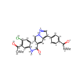 CNC(=O)c1ccc(-c2cnn3ccc(C(=O)N(C)c4ccc(Cl)c(C(=O)OC)c4)cc23)cc1